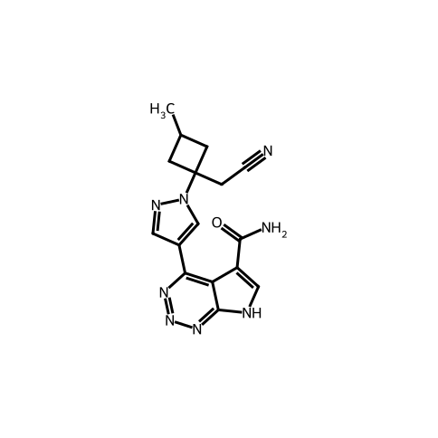 CC1CC(CC#N)(n2cc(-c3nnnc4[nH]cc(C(N)=O)c34)cn2)C1